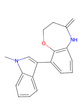 C=C1CCOc2c(cccc2-c2cn(C)c3ccccc23)N1